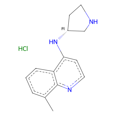 Cc1cccc2c(N[C@@H]3CCNC3)ccnc12.Cl